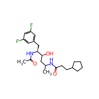 CC(=O)N[C@@H](Cc1cc(F)cc(F)c1)[C@@H](O)CC(C)NC(=O)CCC1CCCC1